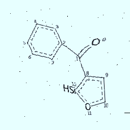 O=C(c1ccccc1)c1cco[siH]1